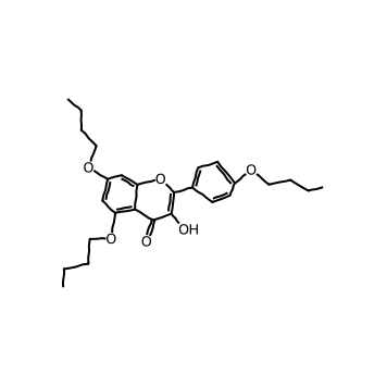 CCCCOc1ccc(-c2oc3cc(OCCCC)cc(OCCCC)c3c(=O)c2O)cc1